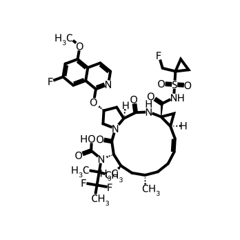 COc1cc(F)cc2c(O[C@@H]3C[C@H]4C(=O)N[C@]5(C(=O)NS(=O)(=O)C6(CF)CC6)C[C@H]5/C=C\CC[C@H](C)C[C@@H](C)[C@H](N(C(=O)O)C(C)(C)C(C)(F)F)C(=O)N4C3)nccc12